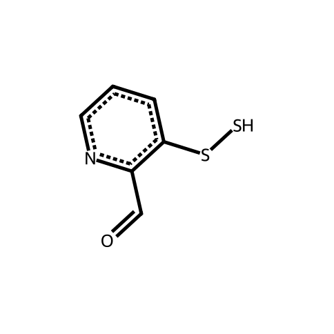 O=Cc1ncccc1SS